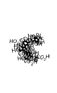 CC(=O)c1c(O)c(O)c(C(O)C(OC(=O)C2=C(O)C(C(=O)O)C(O)C(C(C(=O)Oc3c(N)c(O)c(C(=O)OC(=O)C(=O)O)c4c3OC(O)C(C(=O)O)=C4O)C(O)C(O)C(O)C(=O)O)C2O)C(=O)O)c(O)c1S